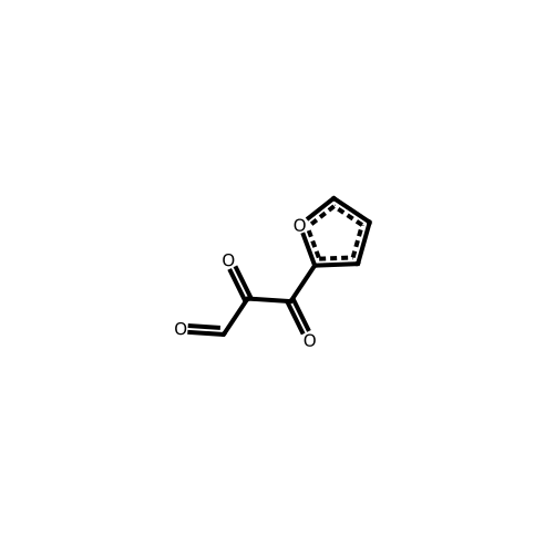 O=CC(=O)C(=O)c1ccco1